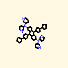 c1ccc(-c2ccc(-c3c4ccc(N(c5cccnc5)c5cccnc5)cc4c(-c4ccc(-c5ccccc5)cc4)c4ccc(N(c5cccnc5)c5cccnc5)cc34)cc2)cc1